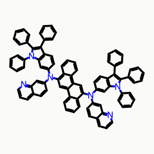 c1ccc(-c2c(-c3ccccc3)n(-c3ccccc3)c3cc(N(c4ccc5cccnc5c4)c4cc5c6ccccc6c(N(c6ccc7cccnc7c6)c6ccc7c(-c8ccccc8)c(-c8ccccc8)n(-c8ccccc8)c7c6)cc5c5ccccc45)ccc23)cc1